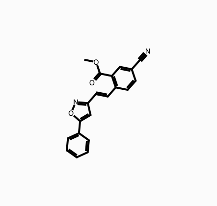 COC(=O)c1cc(C#N)ccc1/C=C/c1cc(-c2ccccc2)on1